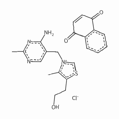 Cc1ncc(C[n+]2csc(CCO)c2C)c(N)n1.O=C1C=CC(=O)c2ccccc21.[Cl-]